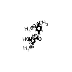 COc1ccc(CNC(=O)C(CCSC)NC(=O)O)cc1OC